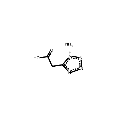 N.O=C(O)Cc1nnn[nH]1